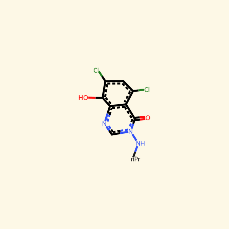 CCCNn1cnc2c(O)c(Cl)cc(Cl)c2c1=O